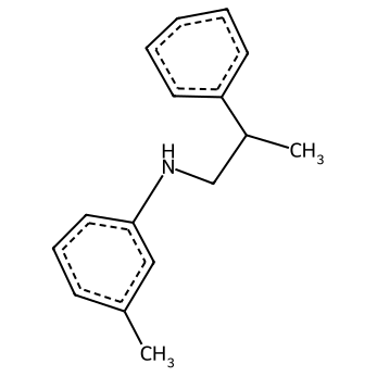 Cc1cccc(NCC(C)c2ccccc2)c1